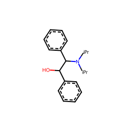 CC(C)N(C(C)C)C(c1ccccc1)C(O)c1ccccc1